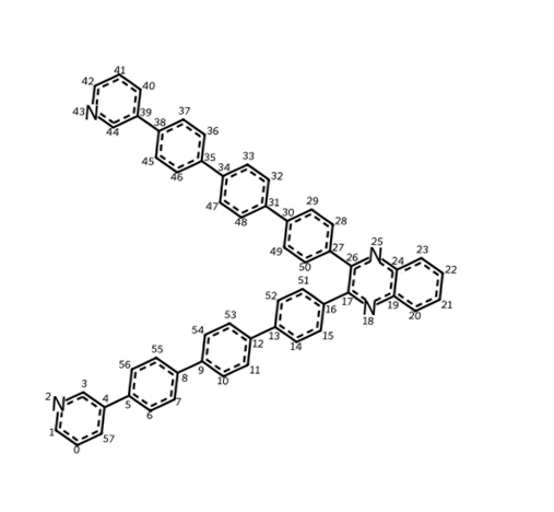 c1cncc(-c2ccc(-c3ccc(-c4ccc(-c5nc6ccccc6nc5-c5ccc(-c6ccc(-c7ccc(-c8cccnc8)cc7)cc6)cc5)cc4)cc3)cc2)c1